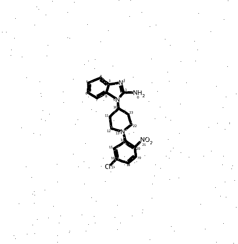 Nc1nc2ccccc2n1C1CCN(c2cc(Cl)ccc2[N+](=O)[O-])CC1